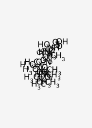 CC[C@H](C)C([C@@H](CC(=O)N1CCC[C@H]1[C@H](OC)[C@@H](C)C(=O)N[C@@H](Cc1ccccc1)C(O)NCCS(=O)(=O)O)OC)N(C)C(=O)[C@@H](NC(=O)[C@H](C(C)C)N(C)C(C)C)C(C)C